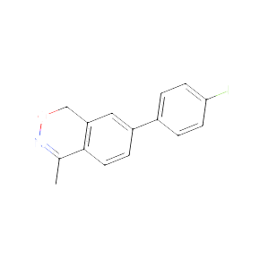 CC1=NOCc2cc(-c3ccc(F)cc3)ccc21